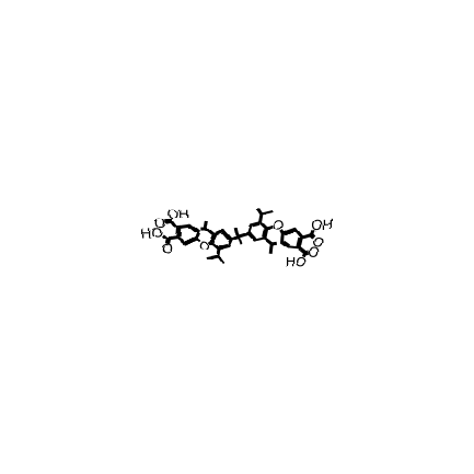 CC(C)c1cc(C(C)(C)c2cc(C(C)C)c(Oc3ccc(C(=O)O)c(C(=O)O)c3)c(C(C)C)c2)cc(C(C)C)c1Oc1ccc(C(=O)O)c(C(=O)O)c1